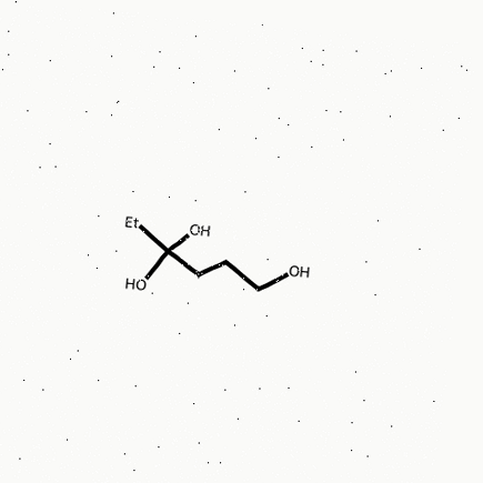 CCC(O)(O)[CH]CCO